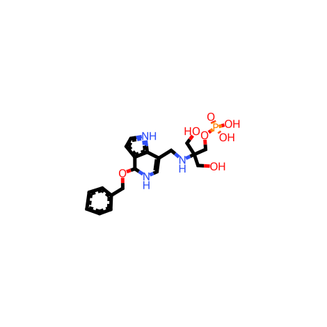 O=P(O)(O)OCC(CO)(CO)NCC1=CNC(OCc2ccccc2)c2cc[nH]c21